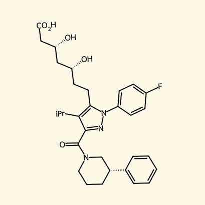 CC(C)c1c(C(=O)N2CCC[C@@H](c3ccccc3)C2)nn(-c2ccc(F)cc2)c1CC[C@@H](O)C[C@@H](O)CC(=O)O